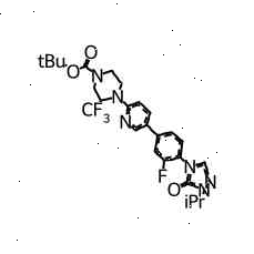 CC(C)n1ncn(-c2ccc(-c3ccc(N4CCN(C(=O)OC(C)(C)C)CC4C(F)(F)F)nc3)cc2F)c1=O